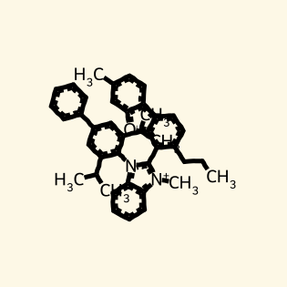 CCCc1ccc2c(oc3cc(C)ccc32)c1-c1n(-c2c(C(C)C)cc(-c3ccccc3)cc2C(C)C)c2ccccc2[n+]1C